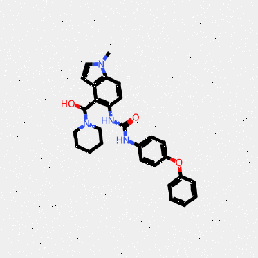 Cn1ccc2c(C(O)N3CCCCC3)c(NC(=O)Nc3ccc(Oc4ccccc4)cc3)ccc21